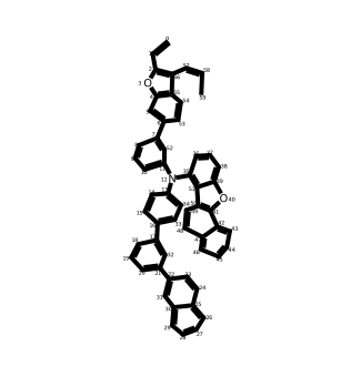 C=Cc1oc2cc(-c3cccc(N(c4ccc(-c5cccc(-c6ccc7ccccc7c6)c5)cc4)c4cccc5oc6c7ccccc7ccc6c45)c3)ccc2c1/C=C\C